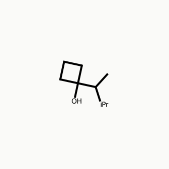 CC(C)C(C)C1(O)CCC1